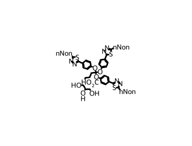 CCCCCCCCCc1nnc(-c2ccc(OC(CCCC(=O)O)(Oc3ccc(-c4nnc(CCCCCCCCC)s4)cc3)Oc3ccc(-c4nnc(CCCCCCCCC)s4)cc3)cc2)s1.OCC(O)CO